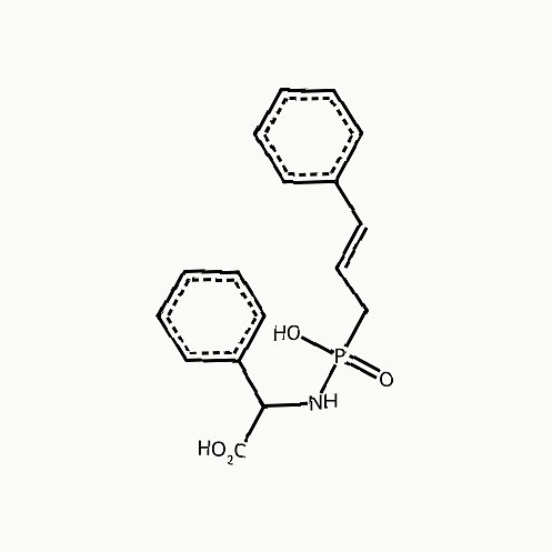 O=C(O)C(NP(=O)(O)CC=Cc1ccccc1)c1ccccc1